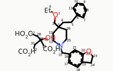 CCOCC1(CCc2ccccc2)CCN(Cc2ccc3c(c2)OCC3)CC1.O=C(O)CC(O)(CC(=O)O)C(=O)O